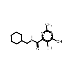 Cc1nc(O)c(O)c(C(=O)NCC2CCCCC2)n1